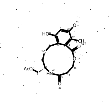 CC(=O)OC[C@@H]1CSCc2c(O)cc(O)c(C)c2C(=O)OCCC(=O)N1